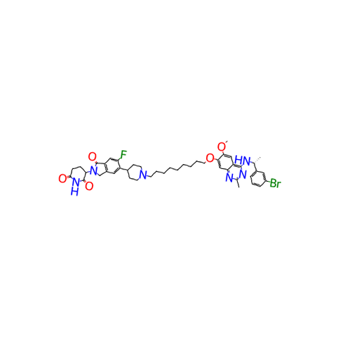 COc1cc2c(N[C@H](C)c3cccc(Br)c3)nc(C)nc2cc1OCCCCCCCCCN1CCC(c2cc3c(cc2F)C(=O)N(C2CCC(=O)NC2=O)C3)CC1